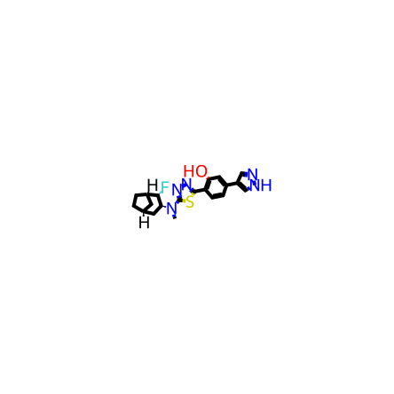 CN(c1nnc(-c2ccc(-c3cn[nH]c3)cc2O)s1)[C@@H]1C[C@H]2CC[C@H](C2)[C@@H]1F